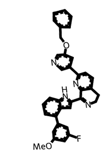 COc1cc(F)cc(-c2cccc3[nH]c(C4=NCCc5ccc(-c6cncc(OCc7ccccc7)c6)nc54)cc23)c1